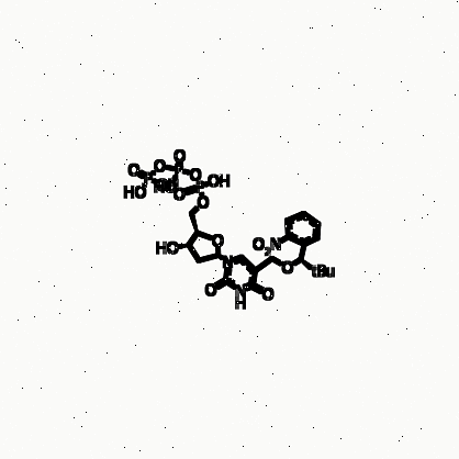 CC(C)(C)[C@@H](OCc1cn([C@H]2C[C@@H](O)[C@@H](COP(=O)(O)OP(=O)(O)OP(=O)(O)O)O2)c(=O)[nH]c1=O)c1ccccc1[N+](=O)[O-]